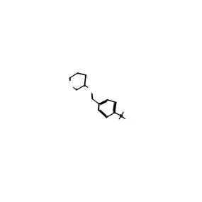 CC(C)(C)c1ccc(COC2CCCNC2)cc1